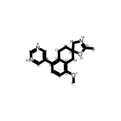 COc1ccc(-c2cncnc2)c2c1CC1(CC2)CN=C(C)O1